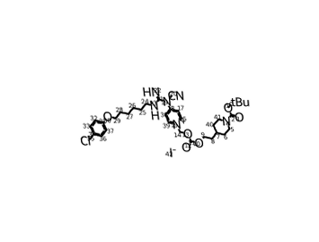 CC(C)(C)OC(=O)N1CCC(CCOC(=O)OC[n+]2ccc(N(C#N)C(=N)NCCCCCCOc3ccc(Cl)cc3)cc2)CC1.[I-]